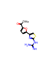 COC(=O)c1ccc(-c2csc(NC(=N)N)n2)o1